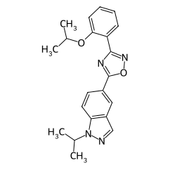 CC(C)Oc1ccccc1-c1noc(-c2ccc3c(cnn3C(C)C)c2)n1